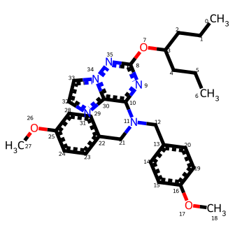 CCCC(CCC)Oc1nc(N(Cc2ccc(OC)cc2)Cc2ccc(OC)cc2)c2nccn2n1